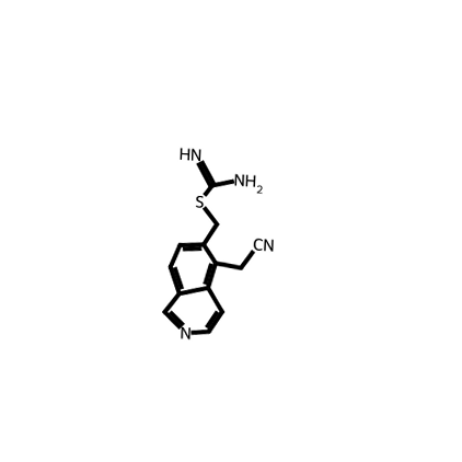 N#CCc1c(CSC(=N)N)ccc2cnccc12